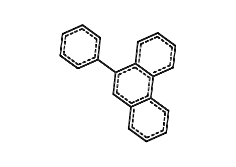 c1ccc(-c2cc3ccccc3c3ccccc23)cc1